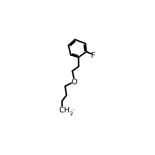 [CH2]CCCOCCc1ccccc1F